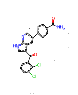 NC(=O)c1ccc(-c2cnc3[nH]cc(C(=O)c4cccc(Cl)c4Cl)c3c2)cc1